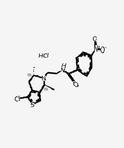 C[C@H]1Cc2c(csc2Cl)[C@H](C)N1CCNC(=O)c1ccc([N+](=O)[O-])cc1.Cl